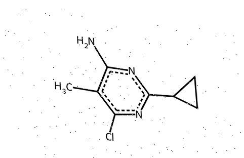 Cc1c(N)nc(C2CC2)nc1Cl